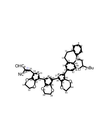 CCCCC(CC)CN1c2ccccc2CCc2cc(-c3sc(-c4sc(-c5sc(/C=C(\C#N)C=O)c6c5OCCO6)c5c4OCCO5)c4c3OCCO4)ccc21